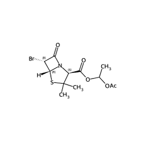 CC(=O)OC(C)OC(=O)[C@@H]1N2C(=O)[C@@H](Br)[C@H]2SC1(C)C